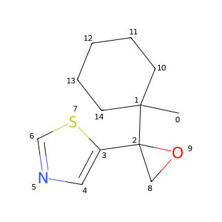 CC1(C2(c3cncs3)CO2)CCCCC1